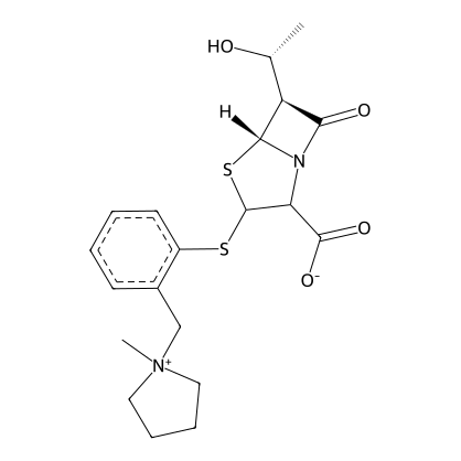 C[C@@H](O)[C@H]1C(=O)N2C(C(=O)[O-])C(Sc3ccccc3C[N+]3(C)CCCC3)S[C@H]12